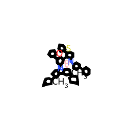 CC1(c2ccc3c(c2)c2cc(C4(C)CC=C5CC5C4)cc4c2n3-c2cc3c(oc5ccccc53)c3c2B4N(c2ccc(-c4ccccc4)cc2)c2ccc4sc5ccccc5c4c2-3)CC=C2CC2C1